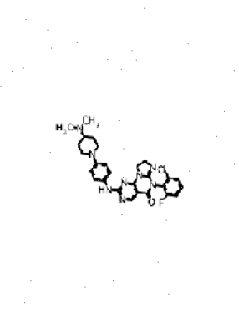 CN(C)C1CCN(c2ccc(Nc3ncc4c(n3)N3CCN=C3N(c3c(F)cccc3Cl)C4=O)cc2)CC1